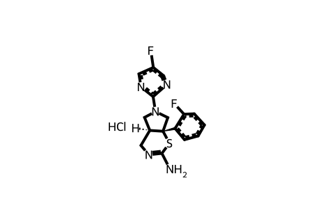 Cl.NC1=NC[C@H]2CN(c3ncc(F)cn3)C[C@]2(c2ccccc2F)S1